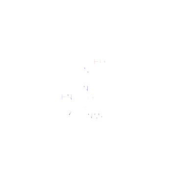 CNC(=O)[C@@H](C)Nc1nc(-c2ccccc2O)nc2ccccc12